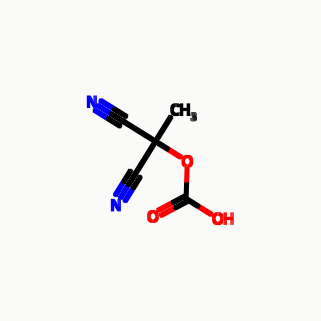 CC(C#N)(C#N)OC(=O)O